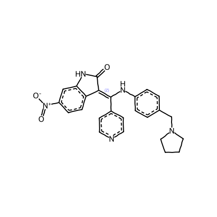 O=C1Nc2cc([N+](=O)[O-])ccc2/C1=C(/Nc1ccc(CN2CCCC2)cc1)c1ccncc1